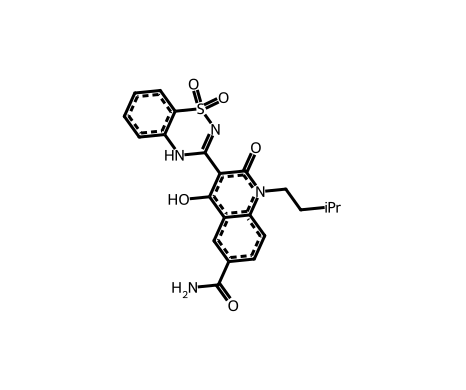 CC(C)CCn1c(=O)c(C2=NS(=O)(=O)c3ccccc3N2)c(O)c2cc(C(N)=O)ccc21